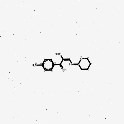 N=C(/C(C=O)=C\NC1CCCCO1)c1ccc(N)cc1